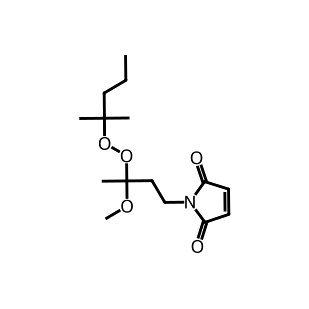 CCCC(C)(C)OOC(C)(CCN1C(=O)C=CC1=O)OC